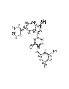 O=c1cc(-c2cn(S)c3ncc(N4CCOCC4)cc23)ccn1Cc1cc(F)cc(I)c1